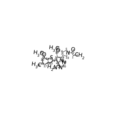 C=CC(=O)N1CCC(c2c(COC)c(-c3cc4cc(C)cc(OC)c4s3)c3c(N)ncnn23)C1